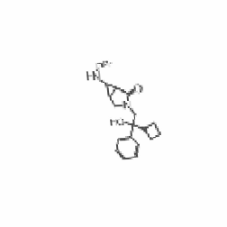 CCCNC1C2CN(CC(O)(c3ccccc3)C3CCC3)C(=O)C21